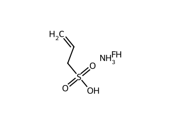 C=CCS(=O)(=O)O.F.N